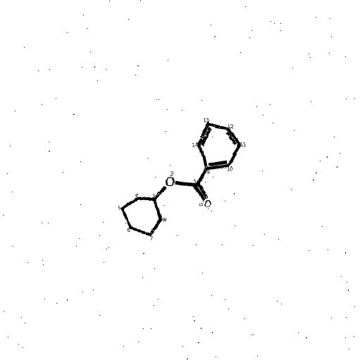 O=C(OC1C[CH]CCC1)c1ccccc1